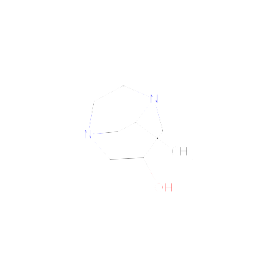 CC1CN2CCN1CC(O)C2